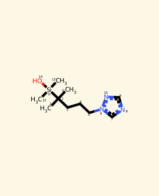 CC(C)(CCCn1cncn1)[Si](C)(C)O